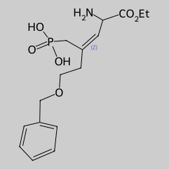 CCOC(=O)C(N)/C=C(/CCOCc1ccccc1)CP(=O)(O)O